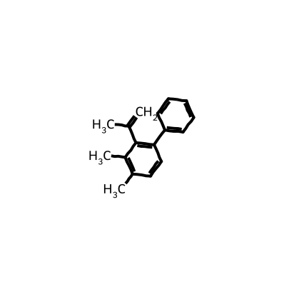 C=C(C)c1c(-c2ccccc2)ccc(C)c1C